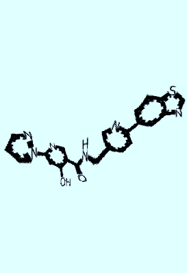 O=C(NCc1ccc(-c2ccc3scnc3c2)nc1)c1cnc(-n2cccn2)cc1O